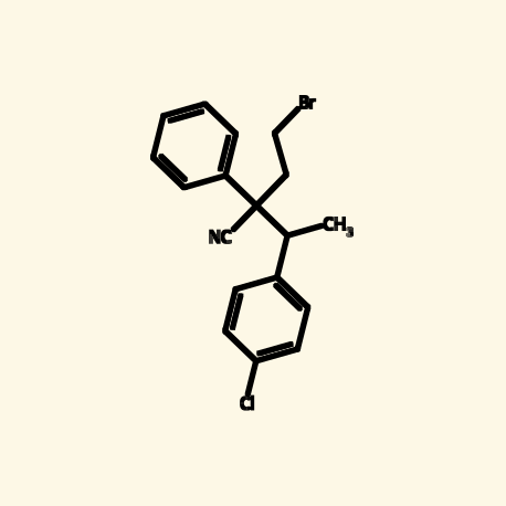 CC(c1ccc(Cl)cc1)C(C#N)(CCBr)c1ccccc1